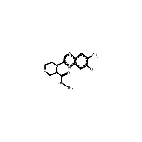 Cc1cc2ncc(N3CCOCC3C(=O)NN)nc2cc1Cl